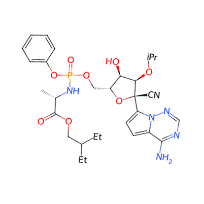 CCC(CC)COC(=O)[C@H](C)NP(=O)(OC[C@H]1O[C@@](C#N)(c2ccc3c(N)ncnn23)[C@H](OC(C)C)[C@@H]1O)Oc1ccccc1